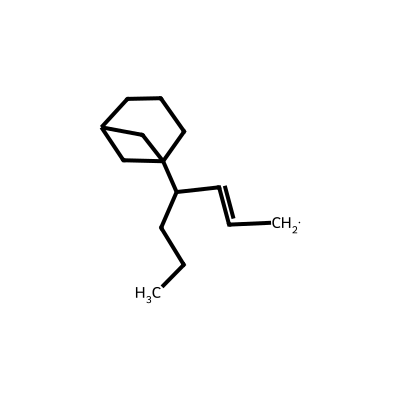 [CH2]C=CC(CCC)C12CCCC(C1)C2